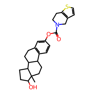 CC12CCC3c4ccc(OC(=O)N5CCc6sccc6C5)cc4CCC3C1CCC2O